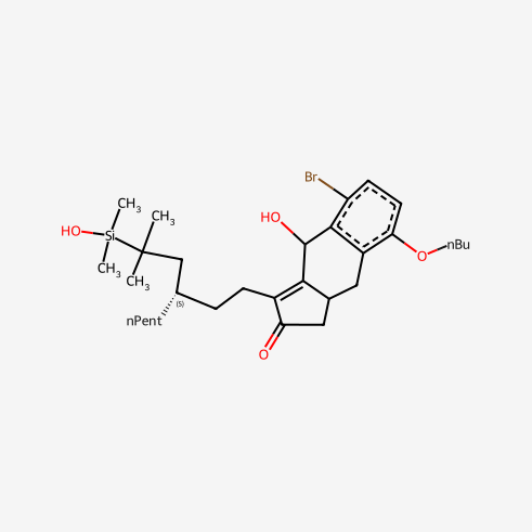 CCCCC[C@@H](CCC1=C2C(CC1=O)Cc1c(OCCCC)ccc(Br)c1C2O)CC(C)(C)[Si](C)(C)O